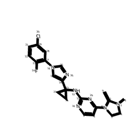 C=C1N(C)CCN1c1ccnc(NC2(c3cn(-c4cc(Cl)ccc4F)cn3)CC2)n1